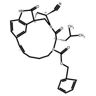 CC(C)C[C@H]1C(=O)N2C[C@]3(C[C@H]2C#N)C(=O)Nc2ccc(cc23)/C=C\CCCN1C(=O)OCc1ccccc1